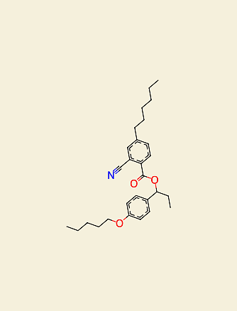 CCCCCCc1ccc(C(=O)OC(CC)c2ccc(OCCCCC)cc2)c(C#N)c1